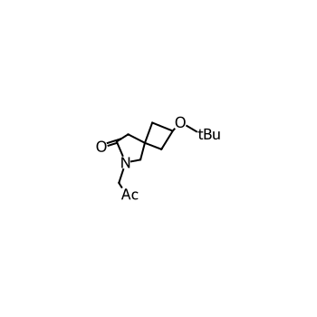 CC(=O)CN1CC2(CC1=O)CC(OC(C)(C)C)C2